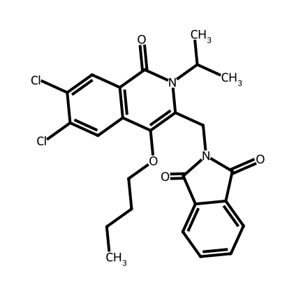 CCCCOc1c(CN2C(=O)c3ccccc3C2=O)n(C(C)C)c(=O)c2cc(Cl)c(Cl)cc12